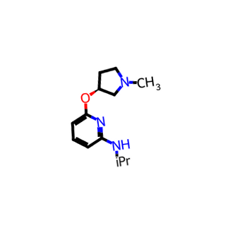 CC(C)Nc1cccc(O[C@H]2CCN(C)C2)n1